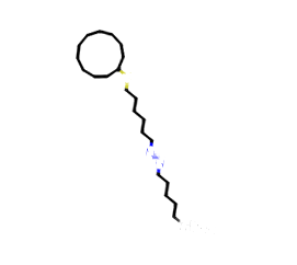 CCCCCCCCCCCCCCC/N=N/CCCCCCSC1CCCCCCCCCC1